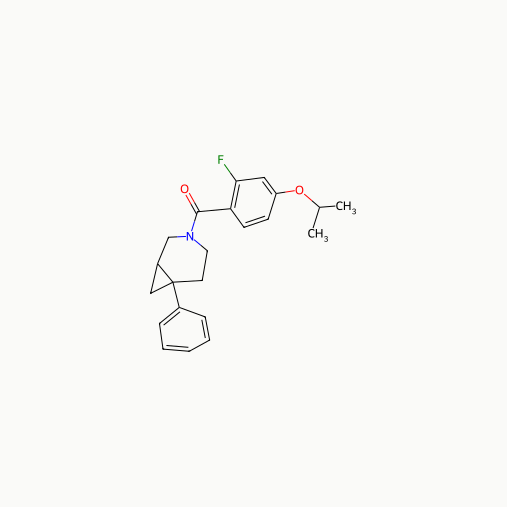 CC(C)Oc1ccc(C(=O)N2CCC3(c4ccccc4)CC3C2)c(F)c1